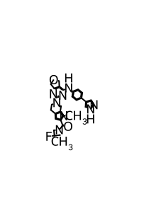 Cn1c(C(=O)N2CC(C)(F)C2)cc2c1CN(c1nc3c(c(Nc4ccc(-c5cn[nH]c5)cc4)n1)COC3)CC2